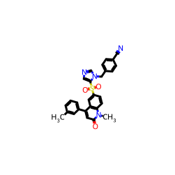 Cc1cccc(-c2cc(=O)n(C)c3ccc(S(=O)(=O)c4cncn4Cc4ccc(C#N)cc4)cc23)c1